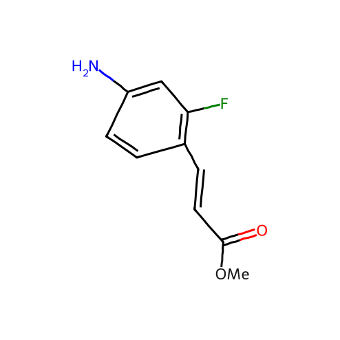 COC(=O)C=Cc1ccc(N)cc1F